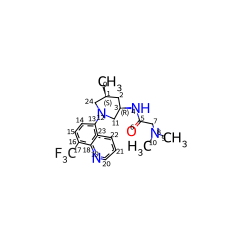 C[C@H]1C[C@@H](NC(=O)CN(C)C)CN(c2ccc(C(F)(F)F)c3ncccc23)C1